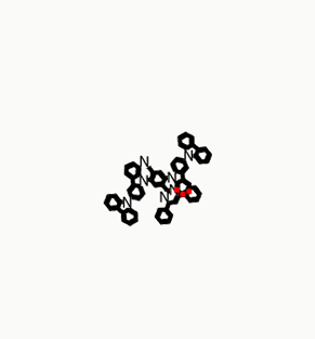 N#Cc1cc(-n2c3ccccc3c3cc(-n4c5ccccc5c5ccccc54)ccc32)c(-c2nc(-c3ccccc3)cc(-c3ccccc3)n2)cc1-n1c2ccccc2c2cc(-n3c4ccccc4c4ccccc43)ccc21